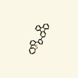 C1=CC2=CC(C=C1)Sc1c2cccc1-c1cccc(-c2ccc3c4ccccc4c4ccccc4c3c2)c1